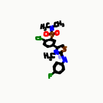 CN(C)S(=O)(=O)c1cc(-c2cs/c(=N/c3ccc(F)cc3)n2C)ccc1Cl